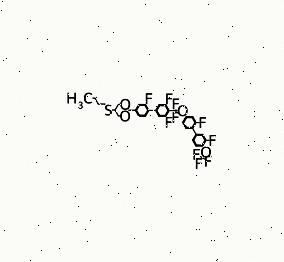 CCCCSC1COC(c2ccc(-c3cc(F)c(C(F)(F)Oc4ccc(-c5ccc(OC(F)(F)F)c(F)c5)c(F)c4)c(F)c3)c(F)c2)OC1